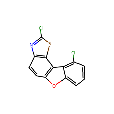 Clc1nc2ccc3oc4cccc(Cl)c4c3c2s1